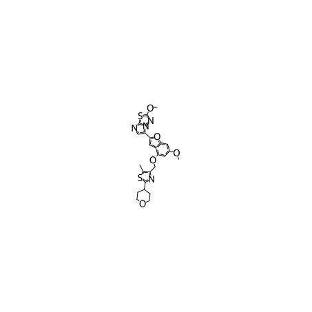 COc1cc(OCc2nc(C3CCOCC3)sc2C)c2cc(-c3cnc4sc(OC)nn34)oc2c1